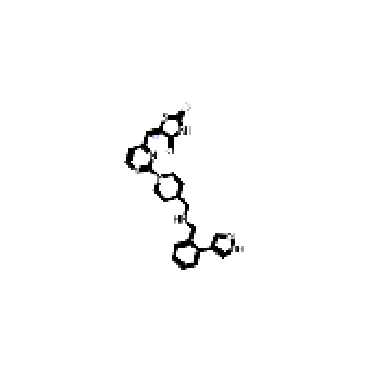 O=C1NC(=O)/C(=C\c2ccnc(N3CCC(CNCc4ccccc4-c4cn[nH]c4)CC3)n2)S1